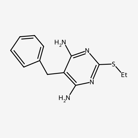 CCSc1nc(N)c(Cc2ccccc2)c(N)n1